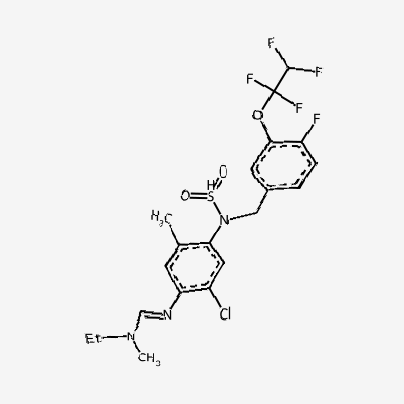 CCN(C)C=Nc1cc(C)c(N(Cc2ccc(F)c(OC(F)(F)C(F)F)c2)[SH](=O)=O)cc1Cl